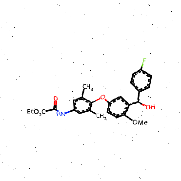 CCOC(=O)C(=O)Nc1cc(C)c(Oc2ccc(OC)c(C(O)c3ccc(F)cc3)c2)c(C)c1